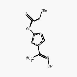 CC(C)(C)OC(=O)Nc1nc(C(=NO)C(=O)O)cs1